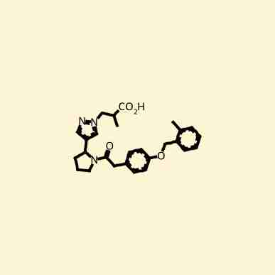 Cc1ccccc1COc1ccc(CC(=O)N2CCCC2c2cnn(CC(C)C(=O)O)c2)cc1